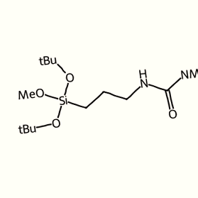 CNC(=O)NCCC[Si](OC)(OC(C)(C)C)OC(C)(C)C